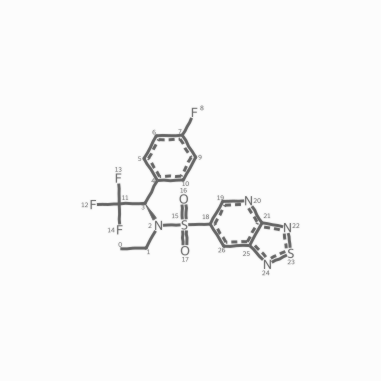 CCN([C@H](c1ccc(F)cc1)C(F)(F)F)S(=O)(=O)c1cnc2nsnc2c1